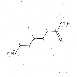 CCCCCCCCSCCC(=O)C(=O)O